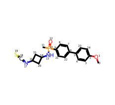 COc1ccc(-c2ccc(P(C)(=O)NC3CC(N=C=S)C3)cc2)cc1